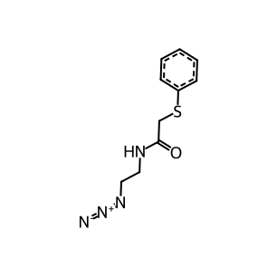 [N-]=[N+]=NCCNC(=O)CSc1ccccc1